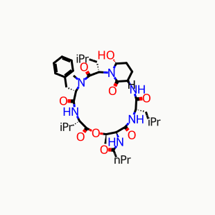 CCCC(=O)N[C@@H]1C(=O)N[C@@H](CC(C)C)C(=O)N[C@H]2CC[C@@H](O)N(C2=O)[C@@H](CC(C)C)C(=O)N(C)[C@@H](Cc2ccccc2)C(=O)N[C@@H](C(C)C)C(=O)O[C@@H]1C